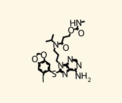 CNC(=O)OCCC(=O)N(CCCn1c(Sc2cc3c(cc2I)OCO3)nc2c(N)ncnc21)C(C)C